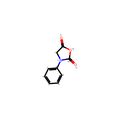 O=C1CN(c2ccccc2)C(=O)O1